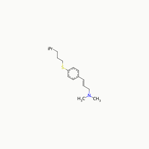 CC(C)CCCSc1ccc(C=CCN(C)C)cc1